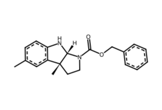 Cc1ccc2c(c1)[C@@]1(C)CCN(C(=O)OCc3ccccc3)[C@H]1N2